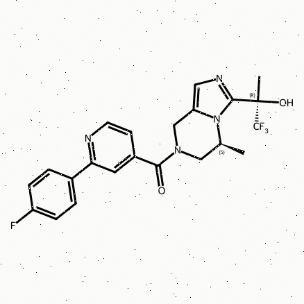 C[C@H]1CN(C(=O)c2ccnc(-c3ccc(F)cc3)c2)Cc2cnc([C@@](C)(O)C(F)(F)F)n21